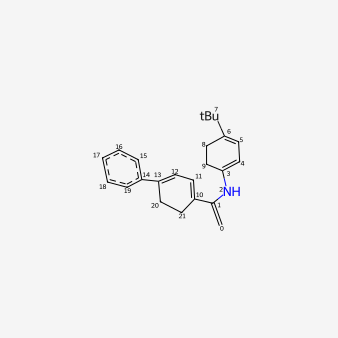 C=C(NC1=CC=C(C(C)(C)C)CC1)C1=CC=C(c2ccccc2)CC1